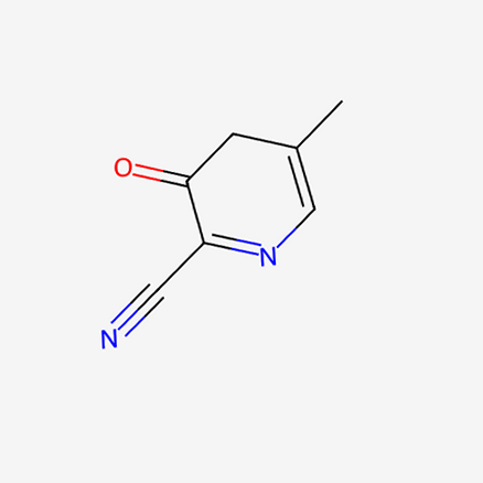 CC1=CN=C(C#N)C(=O)C1